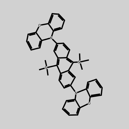 C[Si](C)(C)c1c2ccc(N3c4ccccc4Oc4ccccc43)cc2c([Si](C)(C)C)c2ccc(N3c4ccccc4Oc4ccccc43)cc12